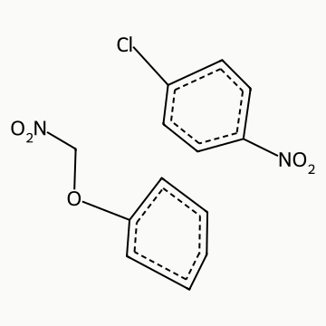 O=[N+]([O-])COc1ccccc1.O=[N+]([O-])c1ccc(Cl)cc1